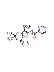 CC1(C)Cc2c(sc(NC(=O)c3ccncn3)c2C(=O)O)C(C)(C)C1